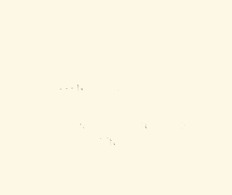 ClC1COCCN1c1ncnc2c1OCC1COCCN21